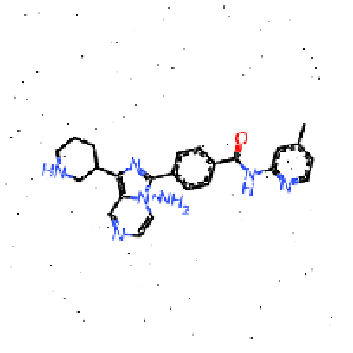 Cc1ccnc(NC(=O)c2ccc(C3=NC(C4CCCNC4)=C4C=NC=C[N+]34N)cc2)c1